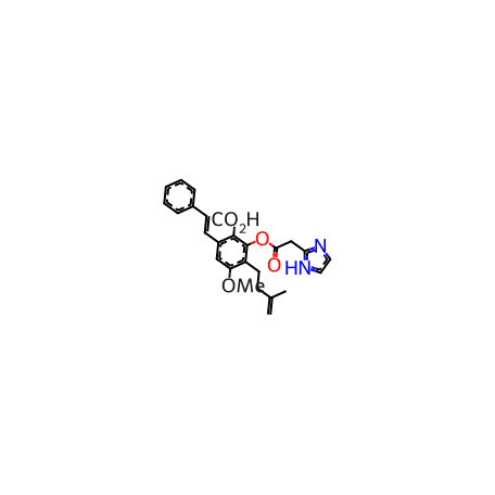 C=C(C)CCc1c(OC)cc(C=Cc2ccccc2)c(C(=O)O)c1OC(=O)Cc1ncc[nH]1